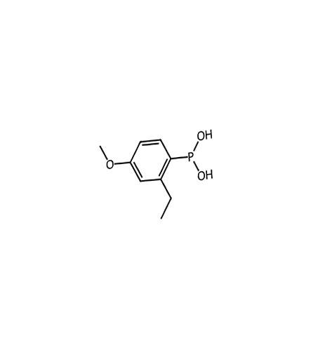 CCc1cc(OC)ccc1P(O)O